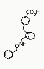 O=C(O)c1ccc(CC2C3CCC(O3)C2CNOCc2ccccc2)cc1